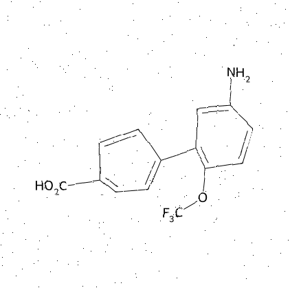 Nc1ccc(OC(F)(F)F)c(-c2ccc(C(=O)O)cc2)c1